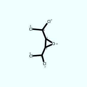 ClC(Cl)C1OC1C(Cl)Cl